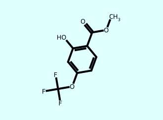 COC(=O)c1ccc(OC(F)(F)F)cc1O